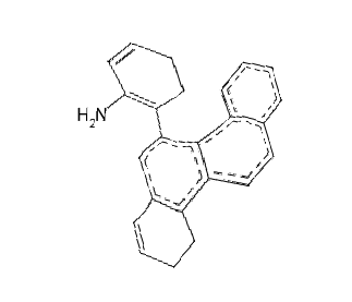 NC1=C(c2cc3c(c4ccc5ccccc5c24)CCC=C3)CCC=C1